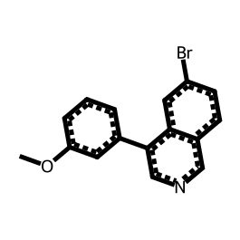 COc1cccc(-c2cncc3ccc(Br)cc23)c1